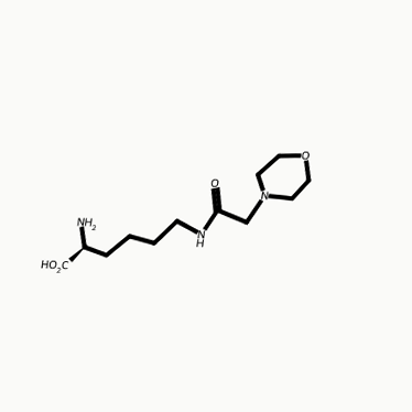 N[C@@H](CCCCNC(=O)CN1CCOCC1)C(=O)O